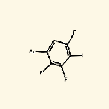 CC(=O)c1cc(F)c(I)c(F)c1F